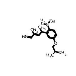 CCC(C)N(C)c1ccc(OC[C@H](C)N)cc1C(C)/C=C(\C)C=N